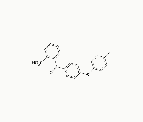 Cc1ccc(Sc2ccc(C(=O)c3ccccc3C(=O)O)cc2)cc1